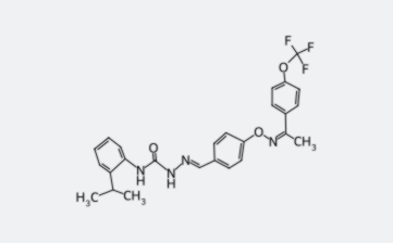 CC(=NOc1ccc(C=NNC(=O)Nc2ccccc2C(C)C)cc1)c1ccc(OC(F)(F)F)cc1